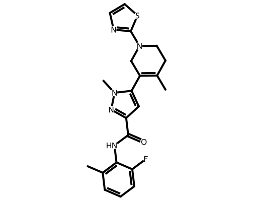 CC1=C(c2cc(C(=O)Nc3c(C)cccc3F)nn2C)CN(c2nccs2)CC1